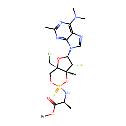 Cc1nc(N(C)C)c2ncn([C@@H]3O[C@]4(CCl)COP(=S)(N[C@@H](C)C(=O)OC(C)C)O[C@H]4[C@H]3F)c2n1